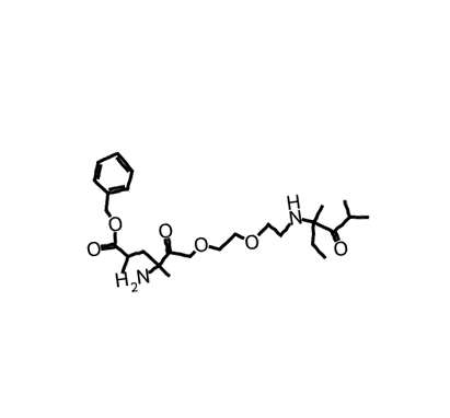 CCC(C)(NCCOCCOCC(=O)C(C)(N)CC(C)C(=O)OCc1ccccc1)C(=O)C(C)C